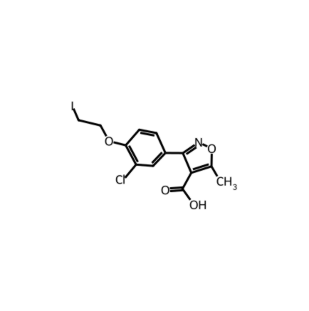 Cc1onc(-c2ccc(OCCI)c(Cl)c2)c1C(=O)O